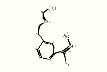 N/C(=N/O)c1cccc(COCC(=O)O)c1